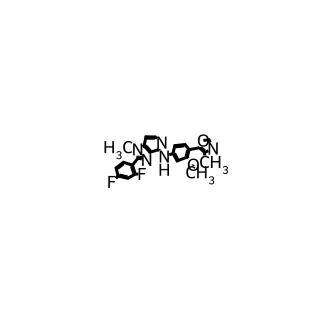 COc1cc(Nc2nccc3c2nc(-c2ccc(F)cc2F)n3C)ccc1-c1ocnc1C